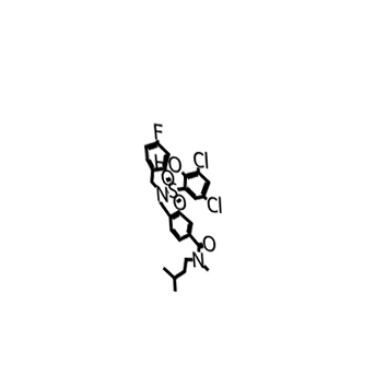 CC(C)CCN(C)C(=O)c1ccc(CN(Cc2ccc(F)cc2)S(=O)(=O)c2cc(Cl)cc(Cl)c2O)cc1